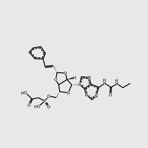 CCNC(=O)Nc1ncnc2c1ncn2[C@@H]1O[C@H](COP(=O)(O)CC(=O)O)C2O[C@H](/C=C/c3ccccc3)O[C@@H]21